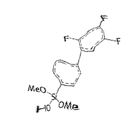 CO[Si](O)(OC)c1ccc(-c2cc(F)c(F)cc2F)cc1